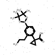 CCCc1cc(B2OC(C)(C)C(C)(C)O2)ccc1C1(C(=O)O)CC1